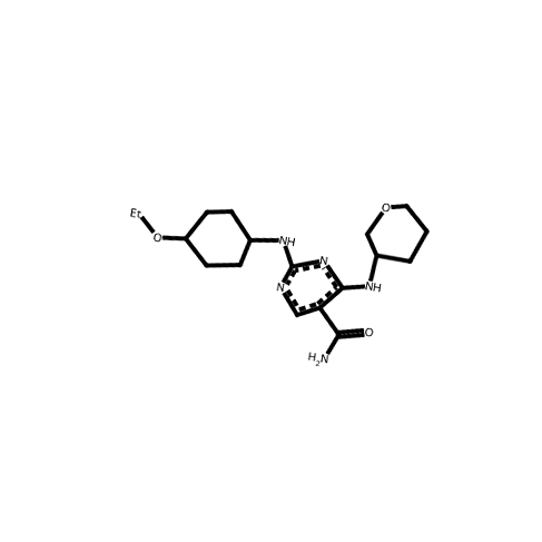 CCOC1CCC(Nc2ncc(C(N)=O)c(NC3CCCOC3)n2)CC1